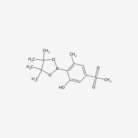 Cc1cc(S(C)(=O)=O)cc(O)c1B1OC(C)(C)C(C)(C)O1